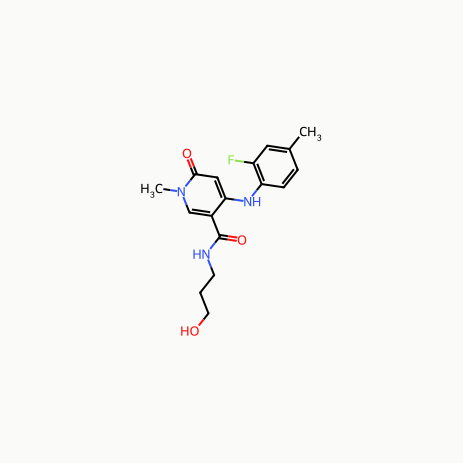 Cc1ccc(Nc2cc(=O)n(C)cc2C(=O)NCCCO)c(F)c1